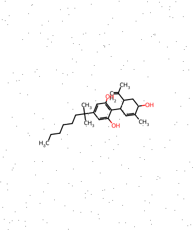 C=C(C)C1CC(O)C(C)=CC1c1c(O)cc(C(C)(C)CCCCCC)cc1O